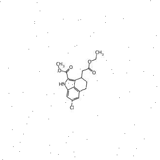 CCOC(=O)CC1CCc2cc(Cl)cc3[nH]c(C(=O)OC)c1c23